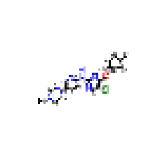 CCN1CCN(c2ccc(Nc3ncc(Cl)c(OCC4CCC(C)CC4)n3)nc2)CC1